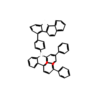 c1ccc(-c2ccc(-c3ccccc3N(c3ccc(-c4cccc5oc6c7ccccc7ccc6c45)cc3)c3cccc(-c4ccccc4)c3)cc2)cc1